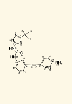 CC(C)(C)c1nnc(NC(=O)Nc2cccc(C#Cc3cnc(N)nc3)c2)s1